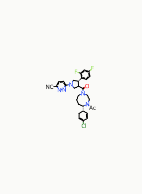 CC(=O)N1CCN(C(=O)C2CN(c3ccc(C#N)nn3)C[C@H]2c2ccc(F)cc2F)CCC[C@H]1C1C=CC(Cl)=CC1